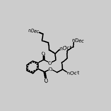 CCCCCCCCCCCCCCC(CCCCCCCC)COC(=O)c1ccccc1C(=O)OCC(CCCCCCCC)CCCCCCCCCCCCCC